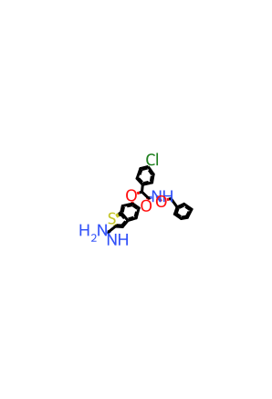 N=C(N)c1cc2ccc(OC(C(=O)NOCc3ccccc3)c3ccc(Cl)cc3)cc2s1